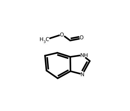 COC=O.c1ccc2[nH]cnc2c1